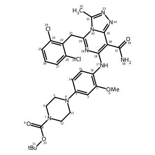 COc1cc(N2CCN(C(=O)OC(C)(C)C)CC2)ccc1Nc1nc(Cc2c(Cl)cccc2Cl)n2c(C)nnc2c1C(N)=O